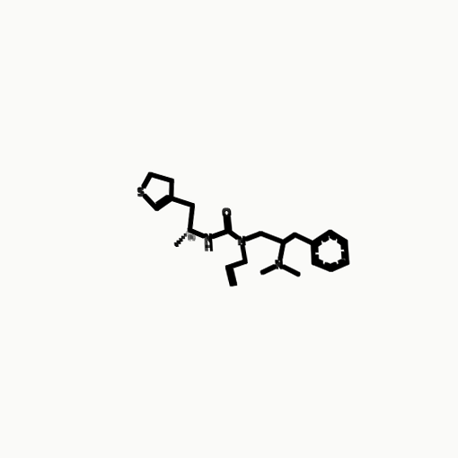 C=CCN(CC(Cc1ccccc1)N(C)C)C(=O)N[C@H](C)CC1=CSCC1